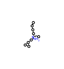 NC(/N=C(\C=C\c1ccccc1)c1ccc(-c2ccc(-c3ccc4c(c3)C43C=CC=CC3)cc2)cc1)c1ccc(-c2ccc3c4ccccc4c4ccccc4c3c2)cc1